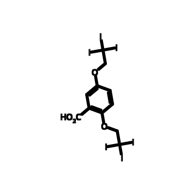 O=C(O)c1cc(OCC(I)(I)I)ccc1OCC(I)(I)I